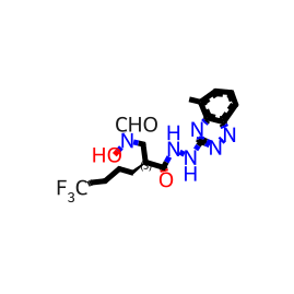 Cc1cccc2nnc(NNC(=O)[C@@H](CCCCC(F)(F)F)CN(O)C=O)nc12